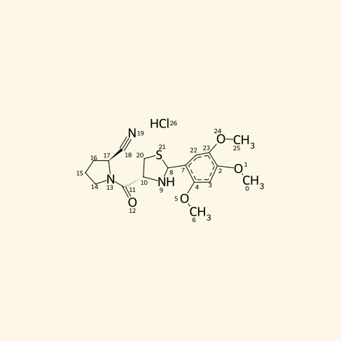 COc1cc(OC)c(C2N[C@H](C(=O)N3CCC[C@H]3C#N)CS2)cc1OC.Cl